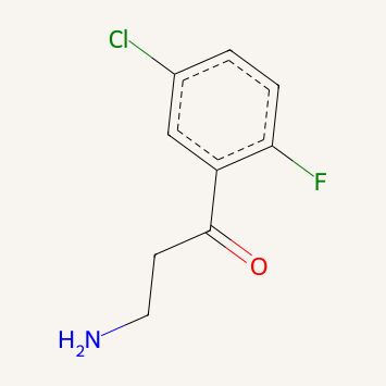 NCCC(=O)c1cc(Cl)ccc1F